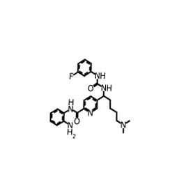 CN(C)CCCCC(NC(=O)Nc1cccc(F)c1)c1ccc(C(=O)Nc2ccccc2N)nc1